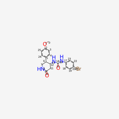 COc1ccc(C2CNC(=O)CC2NC(=O)Nc2ccc(Br)cc2)cc1